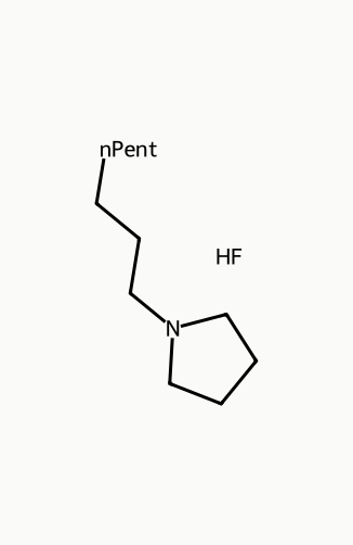 CCCCCCCCN1CCCC1.F